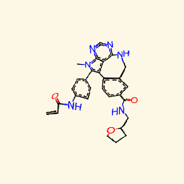 C=CC(=O)Nc1ccc(-c2c3c4c(ncnc4n2C)NCc2cc(C(=O)NCC4CCCO4)ccc2-3)cc1